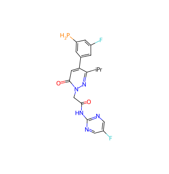 CC(C)c1nn(CC(=O)Nc2ncc(F)cn2)c(=O)cc1-c1cc(F)cc(P)c1